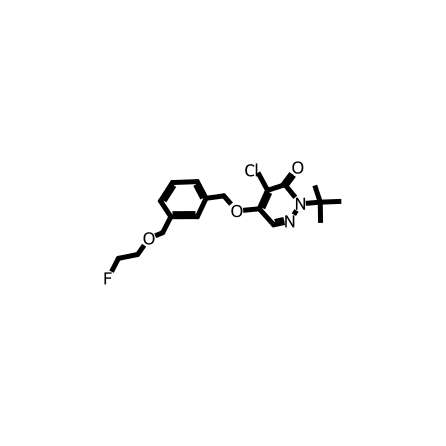 CC(C)(C)n1ncc(OCc2cccc(COCCF)c2)c(Cl)c1=O